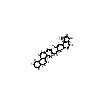 C1=C2Oc3cc4ccc5c6ccccc6ccc5c4nc3C=C2Oc2ccc3cc[nH]c3c21